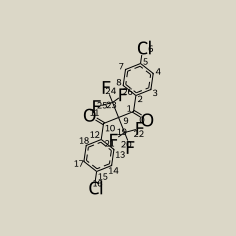 O=C(c1ccc(Cl)cc1)C(C(=O)c1ccc(Cl)cc1)(C(F)(F)F)C(F)(F)F